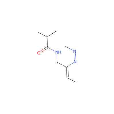 C/C=C(CNC(=O)C(C)C)\N=N/C